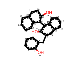 Oc1ccccc1Cc1cc2ccccc2c(-c2c(O)ccc3ccccc23)c1O